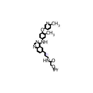 Cc1ccc(Oc2ccc(Nc3ncnc4ccc(/C=C/CNC(=O)COC(C)C)cc34)cc2C)cn1